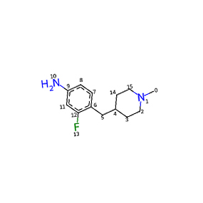 CN1CCC(Cc2ccc(N)cc2F)CC1